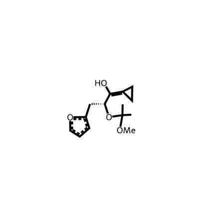 COC(C)(C)O[C@H](Cc1ccco1)C(O)=C1CC1